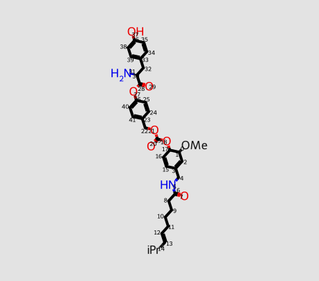 COC1C=C(CNC(=O)CCCC/C=C/C(C)C)C=CC1OC(=O)OCc1ccc(OC(=O)[C@@H](N)Cc2ccc(O)cc2)cc1